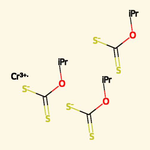 CC(C)OC(=S)[S-].CC(C)OC(=S)[S-].CC(C)OC(=S)[S-].[Cr+3]